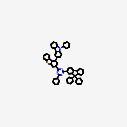 c1ccc(-c2nc(-c3ccc4c(c3)C(c3ccccc3)(c3ccccc3)c3ccccc3-4)nc(-c3cc(-c4ccc5c(c4)c4ccccc4n5-c4ccccc4)c4c(c3)sc3ccccc34)n2)cc1